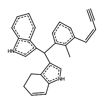 C#C/C=C\c1cccc(C(c2c[nH]c3c2CCC=C3)c2c[nH]c3ccccc23)c1C